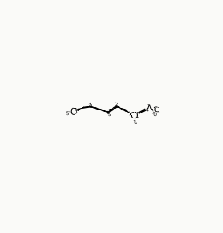 CC(=O)OCCC[O]